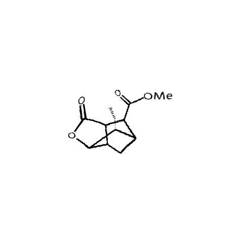 COC(=O)C1C2C(=O)OC3C2CC1[C@H]3C